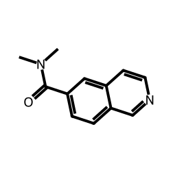 CN(C)C(=O)c1ccc2cnccc2c1